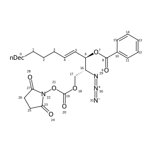 CCCCCCCCCCCCC/C=C/[C@@H](OC(=O)c1ccccc1)[C@@H](COC(=O)ON1C(=O)CCC1=O)N=[N+]=[N-]